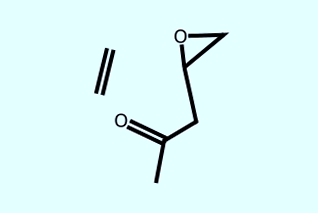 C=C.CC(=O)CC1CO1